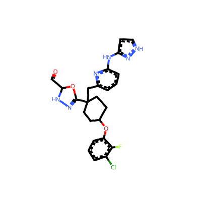 O=CC1NN=C(C2(Cc3cccc(Nc4cc[nH]n4)n3)CCC(Oc3cccc(Cl)c3F)CC2)O1